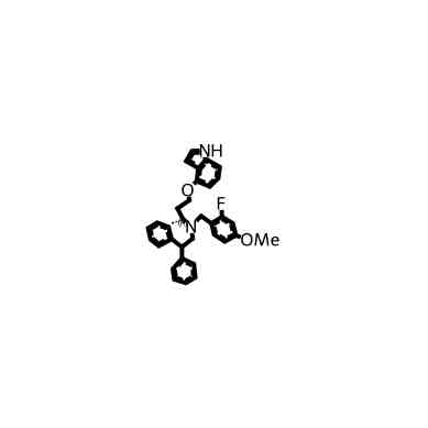 COc1ccc(CN(CC(c2ccccc2)c2ccccc2)[C@H](C)CCOc2cccc3[nH]ccc23)c(F)c1